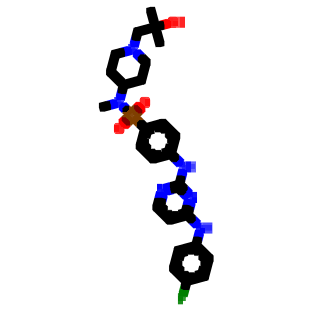 CN(C1CCN(CC(C)(C)O)CC1)S(=O)(=O)c1ccc(Nc2nccc(Nc3ccc(F)cc3)n2)cc1